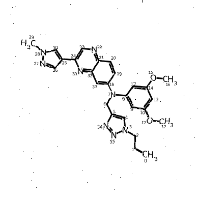 CCCn1cc(CN(c2cc(OC)cc(OC)c2)c2ccc3ncc(-c4cnn(C)c4)nc3c2)nn1